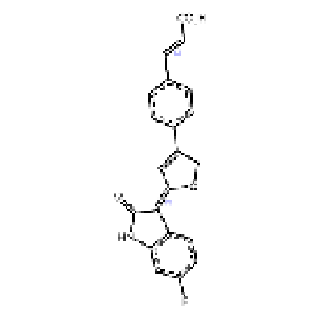 O=C(O)/C=C/c1ccc(C2=C/C(=C3\C(=O)Nc4cc(F)ccc43)OC2)cc1